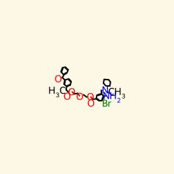 CCN(Cc1cc(C(=O)OCCOCCOC(=O)C(C)c2cccc(C(=O)c3ccccc3)c2)cc(Br)c1N)C1CCCCC1